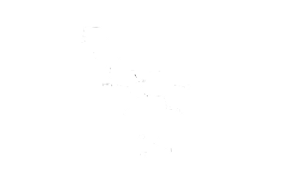 O=C(Cc1cccs1)NC1C(=O)N2C(C(=O)OCC(Cl)(Cl)Cl)=C(Cl)CS[C@@H]12